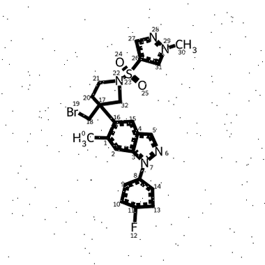 Cc1cc2c(cnn2-c2ccc(F)cc2)cc1C1(CBr)CCN(S(=O)(=O)c2cnn(C)c2)C1